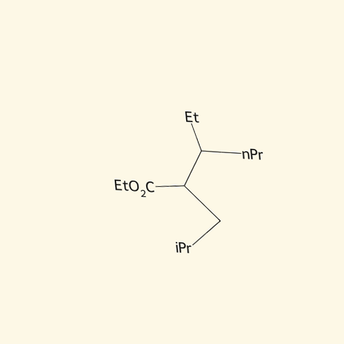 CCCC(CC)C(CC(C)C)C(=O)OCC